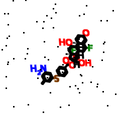 Cc1cc(N)cc(Sc2ccc([C@@H]3O[C@@H]4C[C@H]5[C@@H]6C[C@H](F)C7=CC(=O)C=C[C@]7(C)[C@@]6(F)[C@@H](O)C[C@]5(C)[C@]4(C(=O)CO)O3)cc2)c1